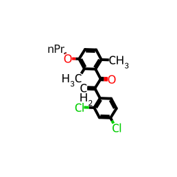 C=C(C(=O)c1c(C)ccc(OCCC)c1C)c1ccc(Cl)cc1Cl